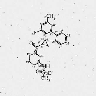 Cc1cc(F)c([C@@H]2C[C@H]2C(=O)N2CCC[C@H](NS(C)(=O)=O)C2)c(-c2ccccc2)c1